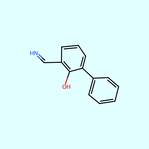 N=Cc1cccc(-c2ccccc2)c1O